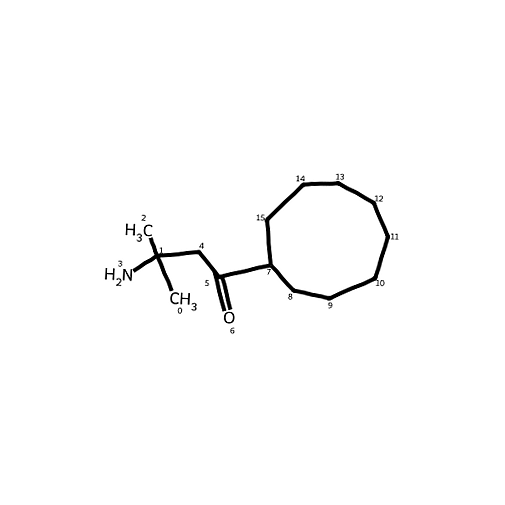 CC(C)(N)CC(=O)C1CCCCCCCC1